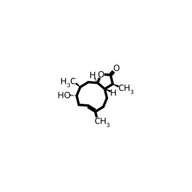 C/C1=C\C[C@H](O)[C@@H](C)C[C@H]2OC(=O)[C@@H](C)[C@@H]2CC1